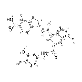 COc1cc(CNC(=O)c2cc(C(=O)N[C@H]3CCc4c3ccc(C(=O)O)c4C)n3ncc(F)c3n2)ccc1F